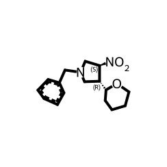 O=[N+]([O-])[C@@H]1CN(Cc2ccccc2)C[C@H]1C1CCCCO1